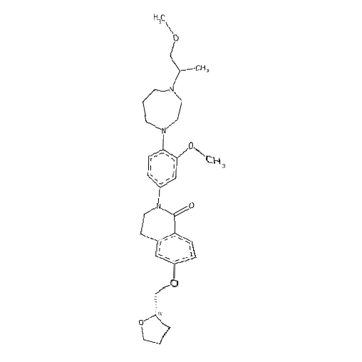 COCC(C)N1CCCN(c2ccc(N3CCc4cc(OC[C@@H]5CCCO5)ccc4C3=O)cc2OC)CC1